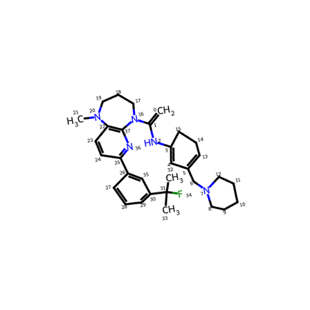 C=C(NC1=CC(CN2CCCCC2)=CCC1)N1CCCN(C)c2ccc(-c3cccc(C(C)(C)F)c3)nc21